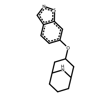 c1cc2cnsc2cc1OC1CC2CCCC(C1)N2